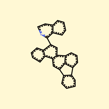 c1ccc2c(c1)-c1cccc3c1c-2cc1c2ccccc2c(-c2nccc4ccccc24)cc31